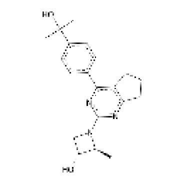 C[C@H]1[C@H](O)CN1c1nc2c(c(-c3ccc(C(C)(C)O)cc3)n1)CCC2